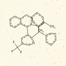 CC=C(C)c1ccc2ccccc2c1-c1cc(C(F)(F)F)ccc1P(c1ccccc1)c1ccccc1